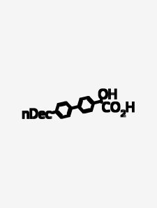 CCCCCCCCCCc1ccc(-c2ccc(C(O)C(=O)O)cc2)cc1